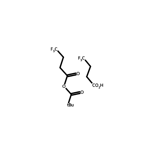 CC(C)(C)C(=O)OC(=O)CCC(F)(F)F.O=C(O)CCC(F)(F)F